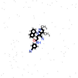 Cc1cc(C)c2c(C#N)c(C=CC(=O)Nc3ccc(C#N)cc3)n([C@H]3CCCc4ccccc43)c2n1